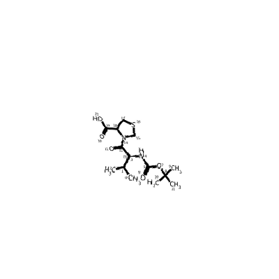 CC(C)[C@H](NC(=O)OC(C)(C)C)C(=O)N1CSCC1C(=O)O